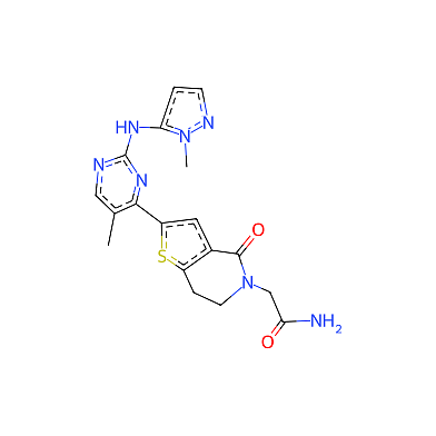 Cc1cnc(Nc2ccnn2C)nc1-c1cc2c(s1)CCN(CC(N)=O)C2=O